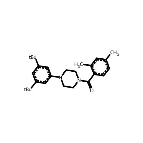 Cc1ccc(C(=O)N2CCN(c3cc(C(C)(C)C)cc(C(C)(C)C)c3)CC2)c(C)c1